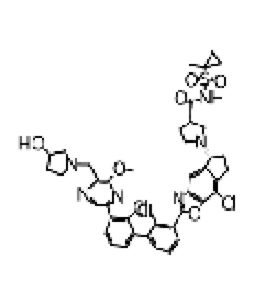 COc1nc(-c2cccc(-c3cccc(-c4nc5cc6c(c(Cl)c5o4)CC[C@H]6N4CC[C@@H](C(=O)NS(=O)(=O)C5(C)CC5)C4)c3Cl)c2Cl)cnc1CN1CC[C@@H](O)C1